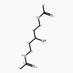 CC(=O)OCCC(O)CCOC(C)=O